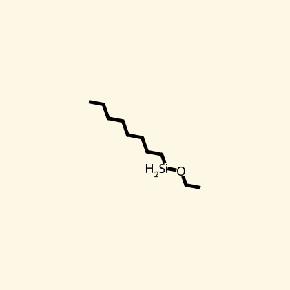 CCCCCCCC[SiH2]OCC